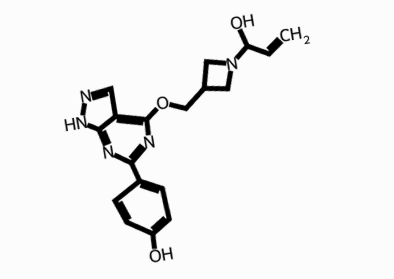 C=CC(O)N1CC(COc2nc(-c3ccc(O)cc3)nc3[nH]ncc23)C1